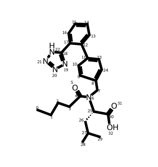 CCCCC(=O)N(Cc1ccc(-c2ccccc2-c2nnn[nH]2)cc1)[C@@H](CC(C)C)C(=O)O